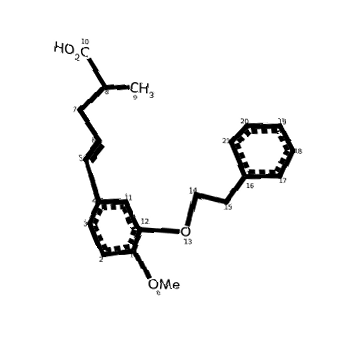 COc1ccc(C=CCC(C)C(=O)O)cc1OCCc1ccccc1